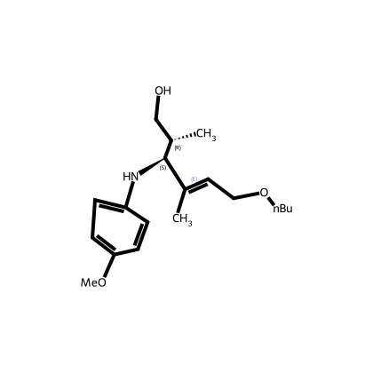 CCCCOC/C=C(\C)[C@@H](Nc1ccc(OC)cc1)[C@@H](C)CO